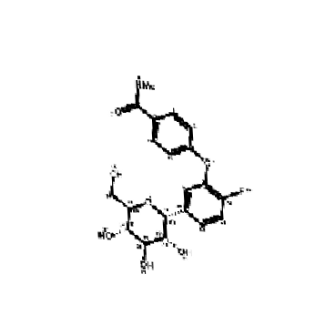 CNC(=O)c1ccc(Oc2cc([C@H]3O[C@H](CO)[C@@H](O)[C@H](O)[C@H]3O)ccc2F)cc1